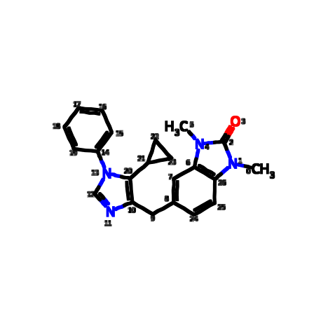 Cn1c(=O)n(C)c2cc(Cc3ncn(-c4ccccc4)c3C3CC3)ccc21